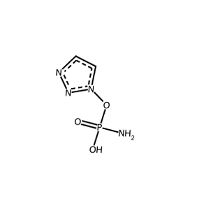 NP(=O)(O)On1ccnn1